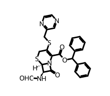 O=CN[C@@H]1C(=O)N2C(C(=O)OC(c3ccccc3)c3ccccc3)=C(SCc3cnccn3)CS[C@H]12